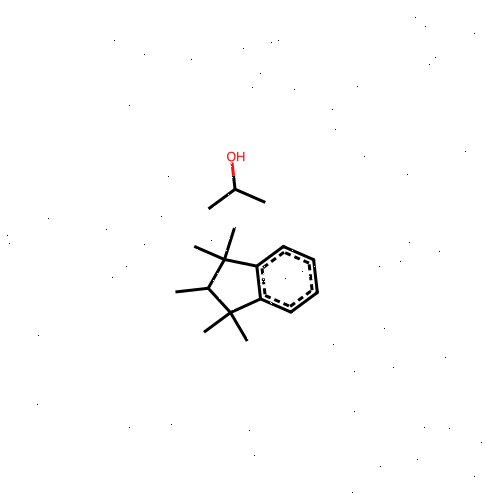 CC(C)O.CC1C(C)(C)c2ccccc2C1(C)C